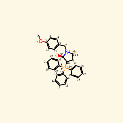 COc1ccc(CN2CCC([P+](c3ccccc3)(c3ccccc3)c3ccccc3)C2=O)cc1.[Br-]